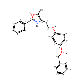 Cc1oc(-c2ccccc2)nc1CCOc1ccc(OCc2ccccc2)cc1